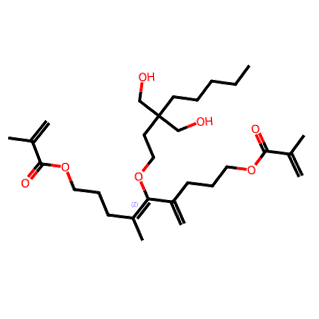 C=C(C)C(=O)OCCCC(=C)/C(OCCC(CO)(CO)CCCCC)=C(\C)CCCOC(=O)C(=C)C